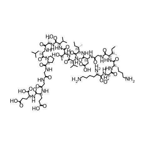 CC[C@H](C)[C@H](NC(=O)[C@H](CCCCN)NC(=O)[C@H](CO)NC(=O)[C@@H](N)CCCCN)C(=O)NCC(=O)N[C@@H](CC(=O)O)C(=O)N[C@H](C(=O)N[C@H](C(=O)N[C@H](C(=O)N[C@H](C(=O)N[C@@H](CO)C(=O)N[C@@H](CC(C)C)C(=O)N1CCC[C@H]1C(=O)NCC(=O)NCC(=O)N[C@@H](CCC(=O)O)C(=O)N[C@@H](CCC(=O)O)C(=O)O)C(C)C)[C@@H](C)O)C(C)C)[C@@H](C)CC